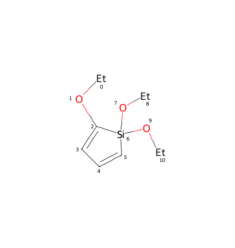 CCOC1=CC=C[Si]1(OCC)OCC